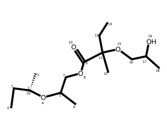 CC[C@H](C)OC(C)COC(=O)C(C)(CC)OCC(C)O